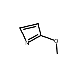 COC1=NC=C1